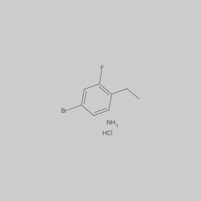 CCc1ccc(Br)cc1F.Cl.N